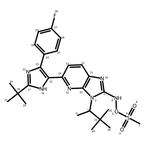 CC(n1c(NOS(C)(=O)=O)nc2ccc(-c3[nH]c(C(C)(C)C)nc3-c3ccc(F)cc3)nc21)C(C)(C)C